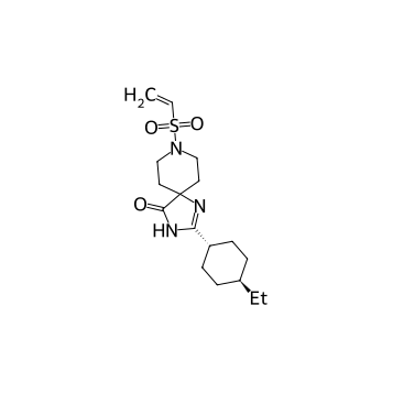 C=CS(=O)(=O)N1CCC2(CC1)N=C([C@H]1CC[C@H](CC)CC1)NC2=O